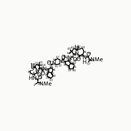 CNC(C)C(=O)N[C@H]1CCS[C@H]2CC(C)(C)[C@@H](C(=O)N[C@H]3c4ccccc4C[C@H]3C(=O)N3CCN(C(=O)[C@@H]4Cc5ccccc5[C@@H]4NC(=O)[C@H]4N5C(=O)[C@@H](NC(=O)C(C)NC)CCS[C@H]5CC4(C)C)CC3)N2C1=O